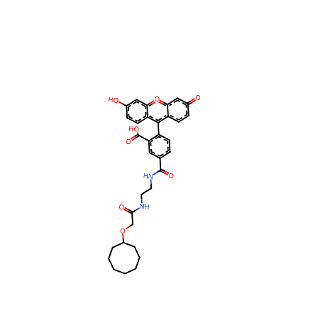 O=C(COC1CCCCCCC1)NCCNC(=O)c1ccc(-c2c3ccc(=O)cc-3oc3cc(O)ccc23)c(C(=O)O)c1